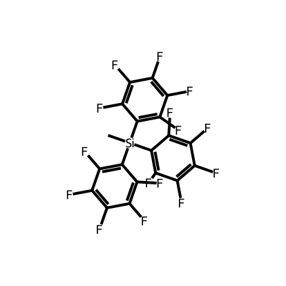 C[Si](c1c(F)c(F)c(F)c(F)c1F)(c1c(F)c(F)c(F)c(F)c1F)c1c(F)c(F)c(F)c(F)c1F